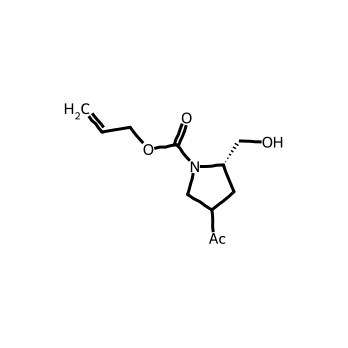 C=CCOC(=O)N1CC(C(C)=O)C[C@H]1CO